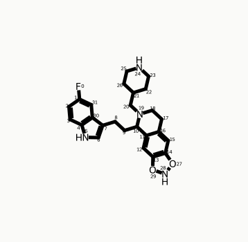 Fc1ccc2[nH]cc(CCC3c4cc5c(cc4CCN3CC3CCNCC3)ONO5)c2c1